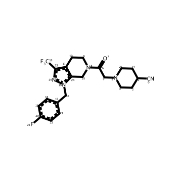 N#CC1CCN(CC(=O)N2CCc3c(C(F)(F)F)nn(Cc4ccc(F)cc4)c3C2)CC1